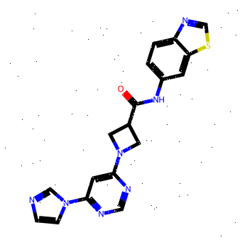 O=C(Nc1ccc2ncsc2c1)C1CN(c2cc(-n3ccnc3)ncn2)C1